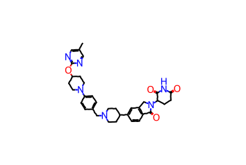 Cc1cnc(OC2CCN(c3ccc(CN4CCC(c5ccc6c(c5)CN(C5CCC(=O)NC5=O)C6=O)CC4)cc3)CC2)nc1